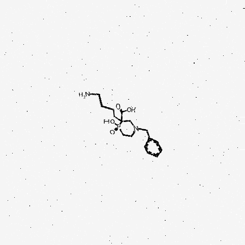 NCCCCC1(C(=O)O)CN(Cc2ccccc2)CCP1(=O)O